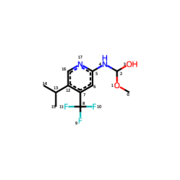 COC(O)Nc1cc(C(F)(F)F)c(C(C)C)cn1